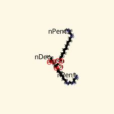 CCCCC/C=C\C/C=C\C/C=C\CCCCCCC(=O)O[C@H](COC(=O)CCCCCCCCCCC)COC(=O)CCCCCCCCCCC/C=C\C/C=C\CCCCC